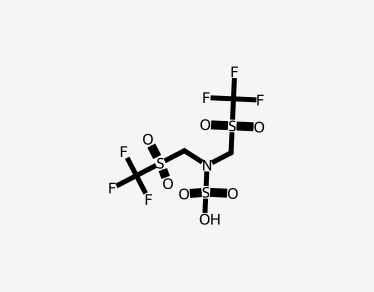 O=S(=O)(O)N(CS(=O)(=O)C(F)(F)F)CS(=O)(=O)C(F)(F)F